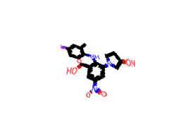 Cc1cc(I)ccc1Nc1c(C(=O)O)cc([N+](=O)[O-])cc1N1CCC(O)C1